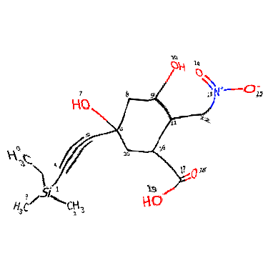 C[Si](C)(C)C#CC1(O)CC(O)C(C[N+](=O)[O-])C(C(=O)O)C1